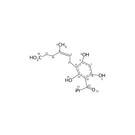 CC(=CCc1c(O)cc(O)c(C(=O)C(C)C)c1O)CCC(=O)O